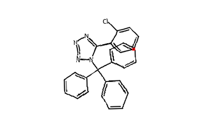 Clc1ccccc1-c1nnnn1C(c1ccccc1)(c1ccccc1)c1ccccc1